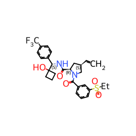 C=C[C@@H]1C[C@H](C(=O)N[C@@H](c2ccc(C(F)(F)F)cc2)C2(O)CCC2)N(C(=O)c2cccc(S(=O)(=O)CC)c2)C1